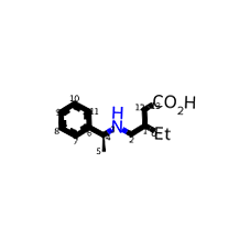 CCC(CN[C@@H](C)c1ccccc1)CC(=O)O